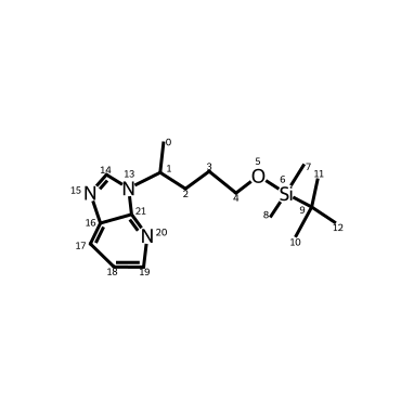 CC(CCCO[Si](C)(C)C(C)(C)C)n1cnc2cccnc21